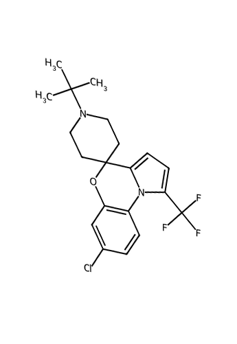 CC(C)(C)N1CCC2(CC1)Oc1cc(Cl)ccc1-n1c(C(F)(F)F)ccc12